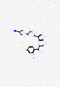 CNc1cc(OC)ccc1C(=N)c1cnc2[nH]cc(C(=O)N[C@H](C)C(=O)N3CC(C#N)C3)c2n1